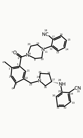 Cc1cc(C)c(C(=O)N2CCN(c3ccccc3C#N)CC2)cc1CN1CC[C@H](Nc2ccccc2C#N)C1